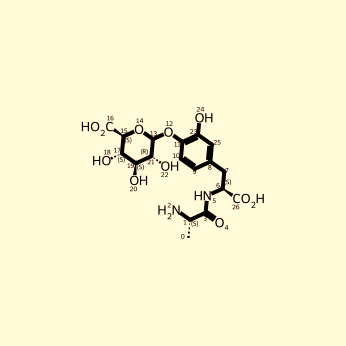 C[C@H](N)C(=O)N[C@@H](Cc1ccc(OC2O[C@H](C(=O)O)[C@@H](O)[C@H](O)[C@H]2O)c(O)c1)C(=O)O